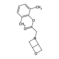 Cc1cccc(C)c1OC(=O)CN1CC2OCC21